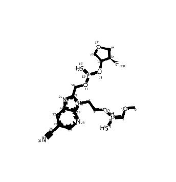 CO/C=[PH](/S)OCCn1c(COP(S)OC2COC[C@H]2F)nc2cc(C#N)cnc21